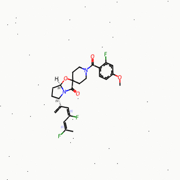 C=C(/C=C(F)\C=C(/C)F)[C@@H]1CC[C@H]2OC3(CCN(C(=O)c4ccc(OC)cc4F)CC3)C(=O)N21